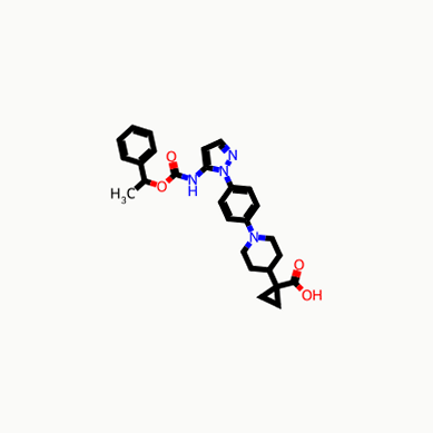 CC(OC(=O)Nc1ccnn1-c1ccc(N2CCC(C3(C(=O)O)CC3)CC2)cc1)c1ccccc1